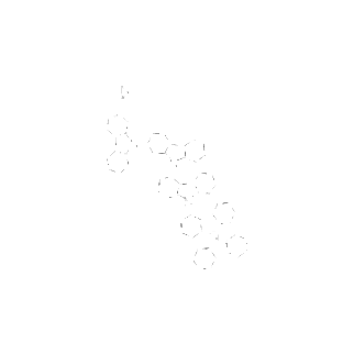 N#Cc1ccc2c3ccccc3n(-c3ccc4c5ccccc5n(-c5cccc6c5c5ccccc5n6-c5cccc([Si](c6ccccc6)(c6ccccc6)c6ccccc6)c5)c4c3)c2c1